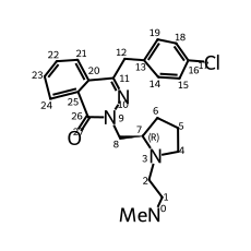 CNCCN1CCC[C@@H]1Cn1nc(Cc2ccc(Cl)cc2)c2ccccc2c1=O